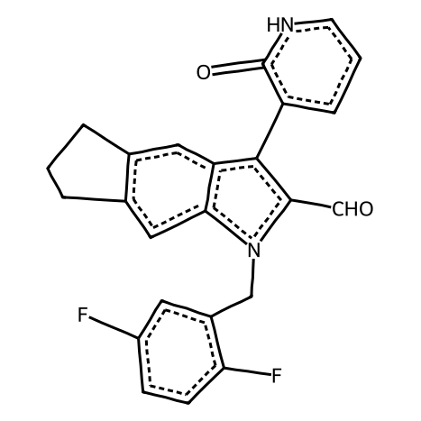 O=Cc1c(-c2ccc[nH]c2=O)c2cc3c(cc2n1Cc1cc(F)ccc1F)CCC3